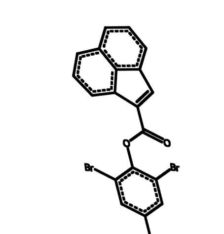 O=C(Oc1c(Br)cc(Br)cc1Br)C1=Cc2cccc3cccc1c23